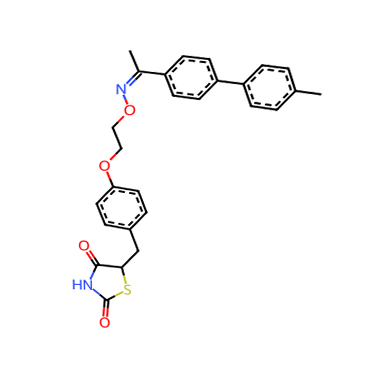 C/C(=N/OCCOc1ccc(CC2SC(=O)NC2=O)cc1)c1ccc(-c2ccc(C)cc2)cc1